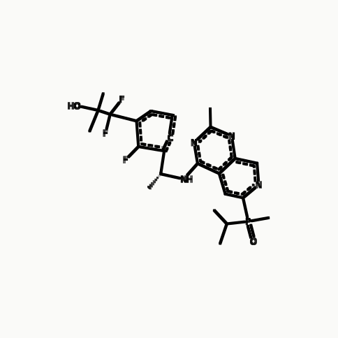 Cc1nc(N[C@H](C)c2cccc(C(F)(F)C(C)(C)O)c2F)c2cc(P(C)(=O)C(C)C)ncc2n1